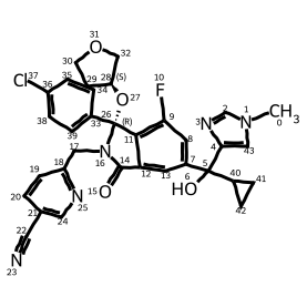 Cn1cnc(C(O)(c2cc(F)c3c(c2)C(=O)N(Cc2ccc(C#N)cn2)[C@@]3(O[C@H]2CCOC2)c2ccc(Cl)cc2)C2CC2)c1